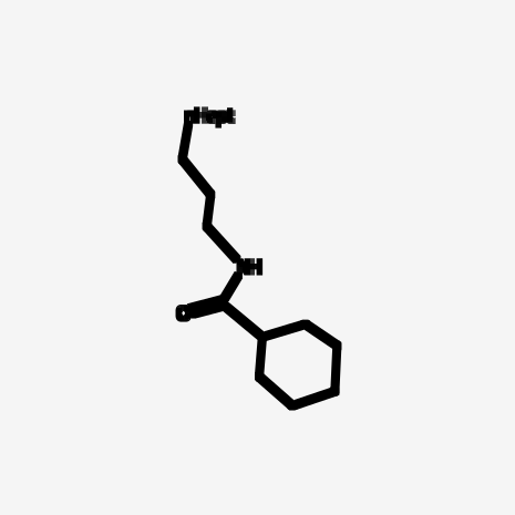 CCCCCCCCCCNC(=O)C1CCCCC1